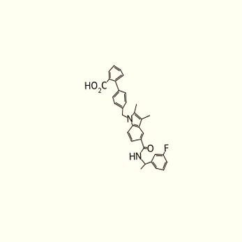 Cc1c(C)n(Cc2ccc(-c3ccccc3C(=O)O)cc2)c2ccc(C(=O)NC(C)c3cccc(F)c3)cc12